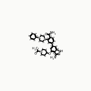 CC(=O)N1CCC(Oc2cc(-c3ccc(C(N)=O)c(N4CCN(c5ccccc5)CC4)c3)cc3[nH]nc(N)c23)CC1